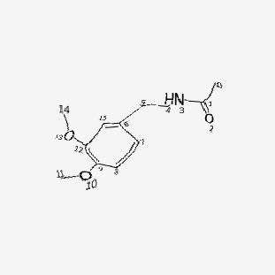 [CH2]C(=O)NCCc1ccc(OC)c(OC)c1